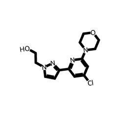 OCCn1ccc(-c2cc(Cl)cc(N3CCOCC3)n2)n1